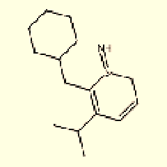 CC(C)C1=C(CC2CCCCC2)S(=N)CC=C1